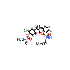 COCCNS(=O)(=O)c1cc(Cc2c(C)c3cc(Cl)c(OC(=O)N(C)C)cc3oc2=O)ccc1F